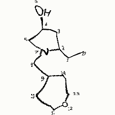 CCC1C[C@H](O)CN1CC1CCOCC1